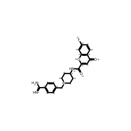 N=C(N)c1ccc(CN2CCC(NC(=O)c3cc(=O)c4ccc(F)cc4o3)CC2)cc1